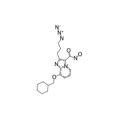 [N-]=[N+]=NCCCc1nc2c(OCC3CCCCC3)cccn2c1C(=O)N=O